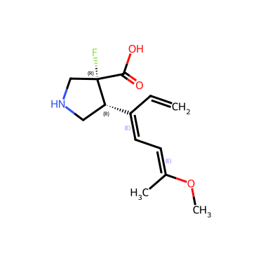 C=C/C(=C\C=C(/C)OC)[C@@H]1CNC[C@@]1(F)C(=O)O